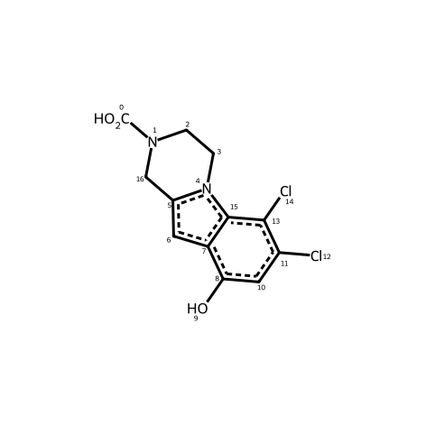 O=C(O)N1CCn2c(cc3c(O)cc(Cl)c(Cl)c32)C1